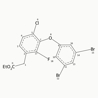 CCOC(=O)Cc1ccc(Cl)c(Oc2cc(Br)cc(Br)c2)c1F